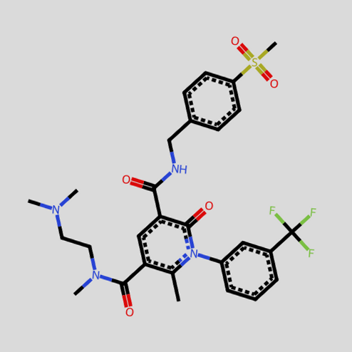 Cc1c(C(=O)N(C)CCN(C)C)cc(C(=O)NCc2ccc(S(C)(=O)=O)cc2)c(=O)n1-c1cccc(C(F)(F)F)c1